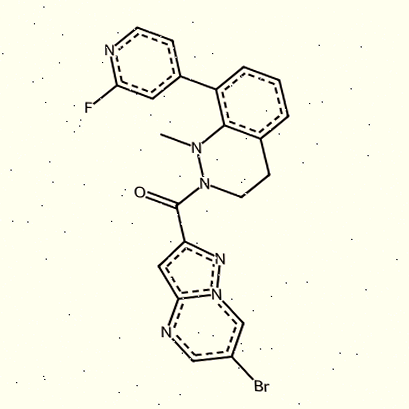 CN1c2c(cccc2-c2ccnc(F)c2)CCN1C(=O)c1cc2ncc(Br)cn2n1